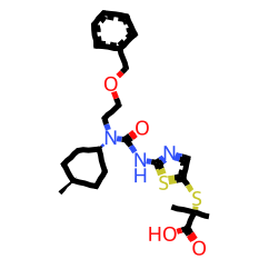 CC(C)(Sc1cnc(NC(=O)N(CCOCc2ccccc2)[C@H]2CC[C@H](C)CC2)s1)C(=O)O